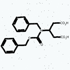 O=C(O)CC(CC(=O)O)N(Cc1ccccc1)C(=O)OCc1ccccc1